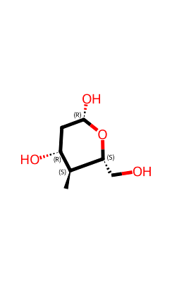 C[C@H]1[C@H](O)C[C@H](O)O[C@@H]1CO